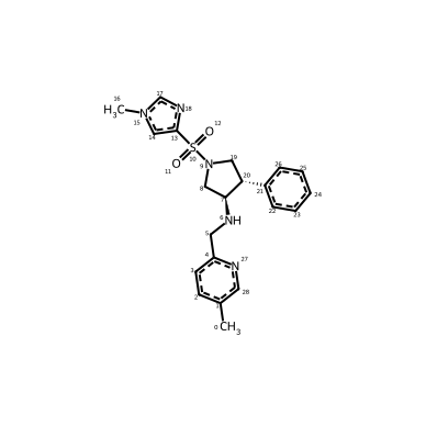 Cc1ccc(CN[C@H]2CN(S(=O)(=O)c3cn(C)cn3)C[C@@H]2c2ccccc2)nc1